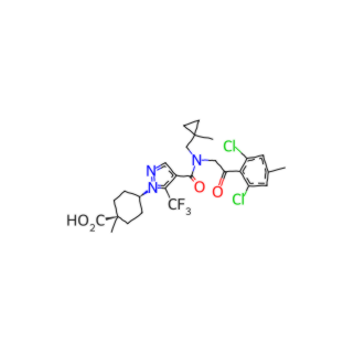 Cc1cc(Cl)c(C(=O)CN(CC2(C)CC2)C(=O)c2cnn([C@H]3CC[C@@](C)(C(=O)O)CC3)c2C(F)(F)F)c(Cl)c1